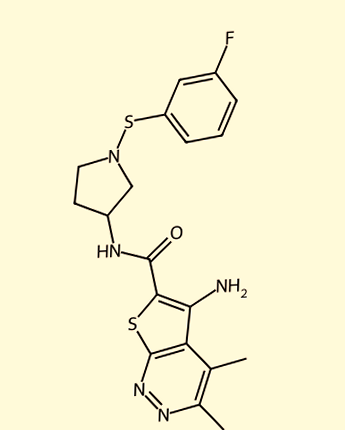 Cc1nnc2sc(C(=O)NC3CCN(Sc4cccc(F)c4)C3)c(N)c2c1C